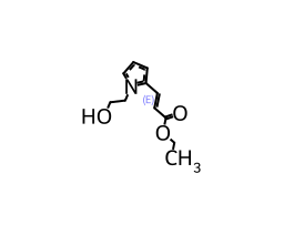 CCOC(=O)/C=C/c1cccn1CCO